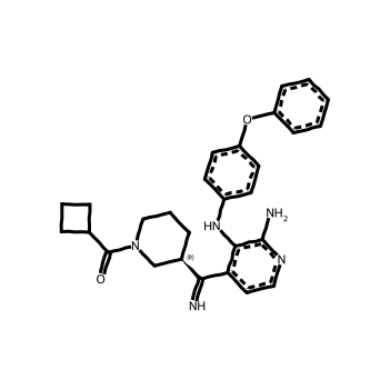 N=C(c1ccnc(N)c1Nc1ccc(Oc2ccccc2)cc1)[C@@H]1CCCN(C(=O)C2CCC2)C1